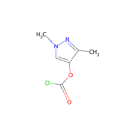 Cc1nn(C)cc1OC(=O)Cl